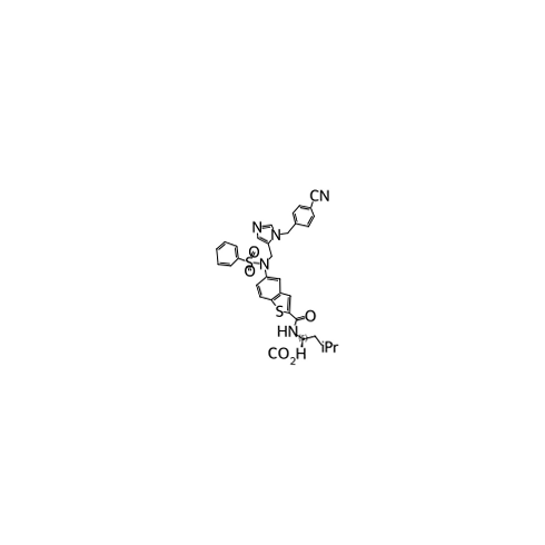 CC(C)C[C@H](NC(=O)c1cc2cc(N(Cc3cncn3Cc3ccc(C#N)cc3)S(=O)(=O)c3ccccc3)ccc2s1)C(=O)O